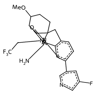 COC1CCC2(CC1)Cc1ccc(-c3cncc(F)c3)cc1C21N=C(N)N(CC(F)(F)F)C1=O